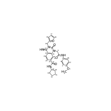 COc1ccc(NC(=O)Cn2c(=O)n(Cc3ccco3)c(=N)c3ccc(C(=O)NC4CCCC4)cc32)cc1